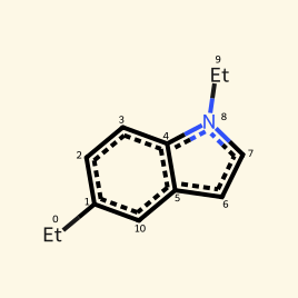 CCc1ccc2c(ccn2CC)c1